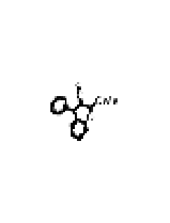 COC(=O)C(=C=S)C(c1ccccc1)c1ccccc1